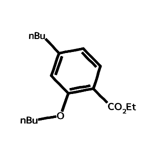 CCCCOc1cc(CCCC)ccc1C(=O)OCC